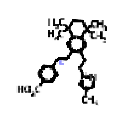 Cc1cnn(CCc2cc3c(cc2/C=C/c2ccc(C(=O)O)cc2)C(C)(C)CCC3(C)C)c1